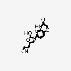 N#CCCC1CN(c2ccc3c(n2)NC(=O)CO3)C(O)O1